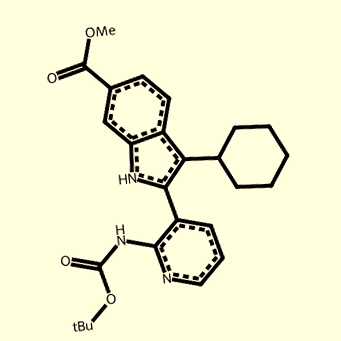 COC(=O)c1ccc2c(C3CCCCC3)c(-c3cccnc3NC(=O)OC(C)(C)C)[nH]c2c1